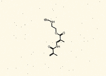 C=C(C)C(=O)NC=C(C)C(=O)OCCNC(C)(C)C